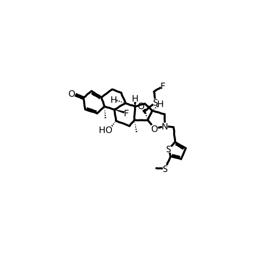 CSc1ccc(CN2C[C@@H]3C[C@H]4[C@@H]5CCC6=CC(=O)C=C[C@]6(C)[C@@]5(F)[C@@H](O)C[C@]4(C)[C@]3(C(=O)SCF)O2)s1